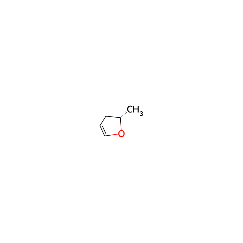 C[C@H]1CC=CO1